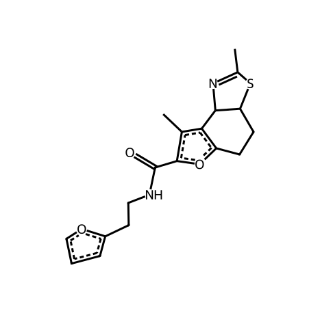 CC1=NC2c3c(oc(C(=O)NCCc4ccco4)c3C)CCC2S1